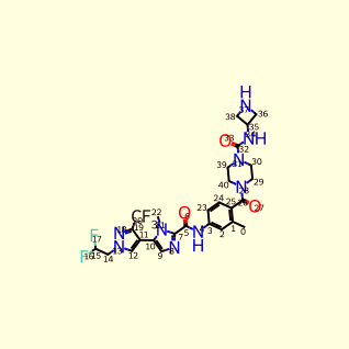 Cc1cc(NC(=O)c2ncc(-c3cn(CC(F)F)nc3C(F)(F)F)n2C)ccc1C(=O)N1CCN(C(=O)NC2CNC2)CC1